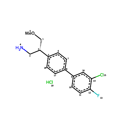 COC[C@@H](CN)c1ccc(-c2ccc(F)c(Cl)c2)cc1.Cl